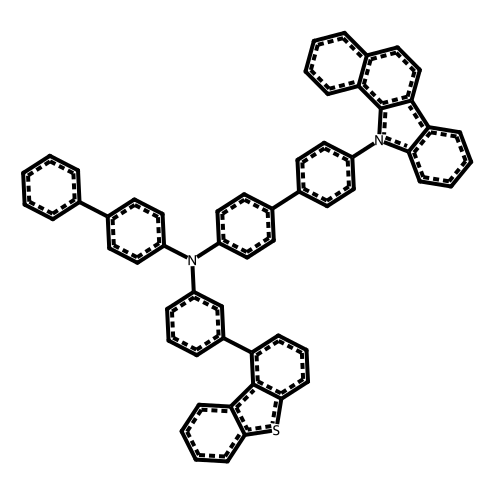 c1ccc(-c2ccc(N(c3ccc(-c4ccc(-n5c6ccccc6c6ccc7ccccc7c65)cc4)cc3)c3cccc(-c4cccc5sc6ccccc6c45)c3)cc2)cc1